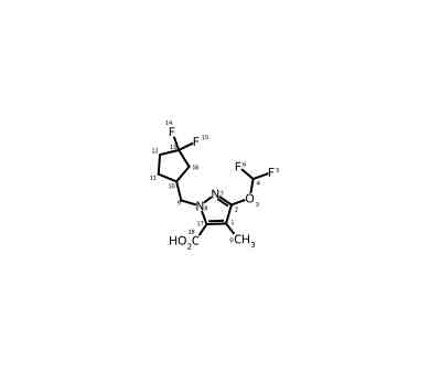 Cc1c(OC(F)F)nn(CC2CCC(F)(F)C2)c1C(=O)O